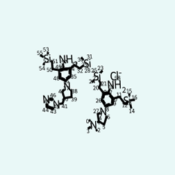 C[N+](C)(C)C1CCN(c2cc(CC[Si](C)(C)C)c(N)c(CC[Si](C)(C)C)c2)C1.C[Si](C)(C)CCc1cc(N2CCC(Cn3ccnc3)C2)cc(CC[Si](C)(C)C)c1N.[Cl-]